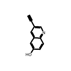 C#Cc1cnc2ccc(O)cc2c1